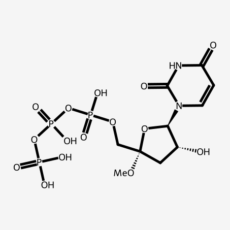 CO[C@@]1(COP(=O)(O)OP(=O)(O)OP(=O)(O)O)C[C@@H](O)[C@H](n2ccc(=O)[nH]c2=O)O1